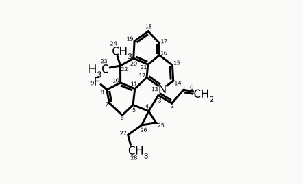 C=CC=CC1(C2CC=C(F)C3=C2c2nccc4cccc(c24)C3(C)C)CC1CC